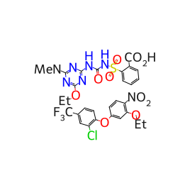 CCOc1cc(Oc2ccc(C(F)(F)F)cc2Cl)ccc1[N+](=O)[O-].CCOc1nc(NC)nc(NC(=O)NS(=O)(=O)c2ccccc2C(=O)O)n1